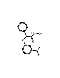 CN(C)c1cccc(OC(C(=O)NO)c2ccccc2)c1